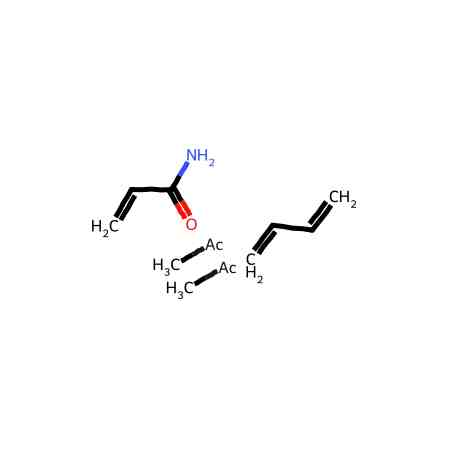 C=CC(N)=O.C=CC=C.CC(C)=O.CC(C)=O